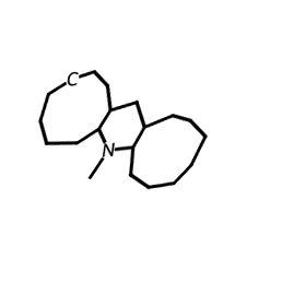 CN1C2CCCCCCCC2CC2CCCCCCCC21